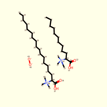 CCCCCCCCCCC(C(=O)O)[N+](C)(C)C.CCCCCCCCCCCCCCCCC(C(=O)O)[N+](C)(C)C.[O-][O-]